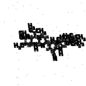 COc1nc(CC(C)C)c(Nc2nccc(-c3cc(C#N)c4c(c3)[C@@](C)(CO[Si](C)(C)C(C)(C)C)CN4)n2)cc1C